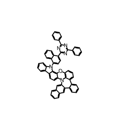 c1ccc(-c2nc(-c3ccccc3)nc(-c3ccc(-n4c5ccccc5c5ccc6c(c54)Oc4cccc5c4N6c4cc6ccccc6cc4-c4ccccc4-5)c4ccccc34)n2)cc1